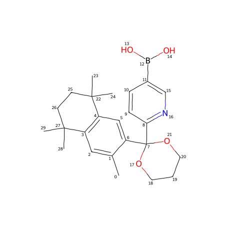 Cc1cc2c(cc1C1(c3ccc(B(O)O)cn3)OCCCO1)C(C)(C)CCC2(C)C